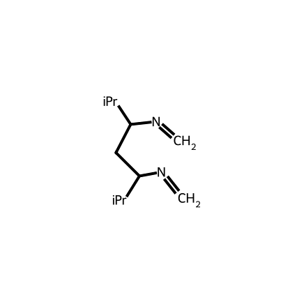 C=NC(CC(N=C)C(C)C)C(C)C